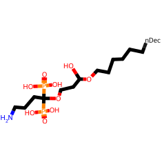 CCCCCCCCCCCCCCCCOC(O)CCOC(CCCN)(P(=O)(O)O)P(=O)(O)O